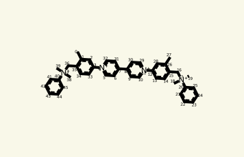 Cc1cc(-[n+]2ccc(-c3cc[n+](-c4ccc(C[N+](C)(C)c5ccccc5)c(C)c4)cc3)cc2)ccc1C[N+](C)(C)c1ccccc1